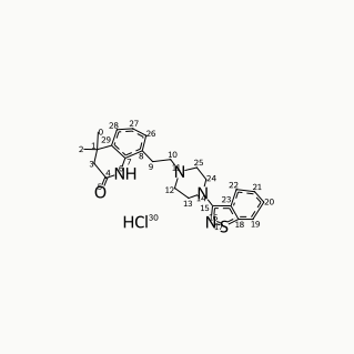 CC1(C)CC(=O)Nc2c(CCN3CCN(c4nsc5ccccc45)CC3)cccc21.Cl